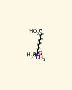 CN(C)C(=O)CCCCCCCCC(=O)O